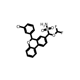 NS(=O)(=O)C(OC(F)F)c1ccc2c(c1)C(c1cccc(Cl)c1)Oc1ccccc1-2